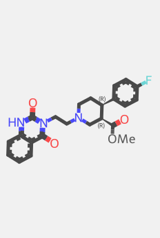 COC(=O)[C@H]1CN(CCn2c(=O)[nH]c3ccccc3c2=O)CC[C@H]1c1ccc(F)cc1